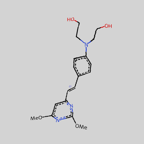 COc1cc(/C=C/c2ccc(N(CCO)CCO)cc2)nc(OC)n1